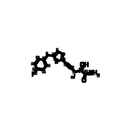 C[C@H](C#Cc1ccc(Cc2ccc(F)cc2)s1)N(O)C(N)=O